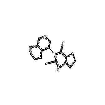 O=c1[nH]c2ccsc2c(=O)n1-c1cncc2ccccc12